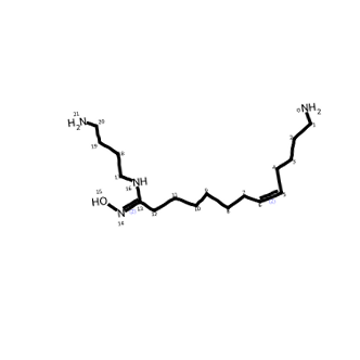 NCCCC/C=C\CCCCCC/C(=N/O)NCCCCN